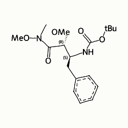 CO[C@@H](C(=O)N(C)OC)[C@H](Cc1ccccc1)NC(=O)OC(C)(C)C